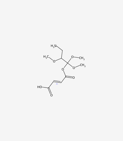 COC(C[SiH3])C(OC)(OC)OC(=O)/C=C/C(=O)O